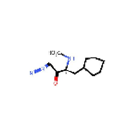 [N-]=[N+]=CC(=O)[C@H](CC1CCCCC1)NC(=O)O